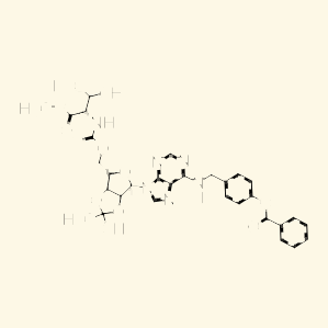 COC(=O)[C@@H](NC(=O)OC[C@H]1O[C@@H](n2cnc3c(NCc4ccc(OC(=O)c5ccccc5)cc4)ncnc32)C2OC(C)(C)OC21)C(C)C